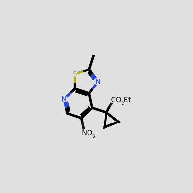 CCOC(=O)C1(c2c([N+](=O)[O-])cnc3sc(C)nc23)CC1